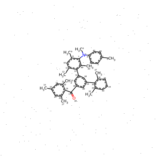 Cc1ccc(N(C)c2c(C)cc(C)c(-c3cc(C(=O)c4c(C)cc(C)cc4C)cc(-c4c(C)cccc4C)c3)c2C)cc1